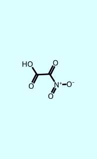 O=C(O)C(=O)[N+](=O)[O-]